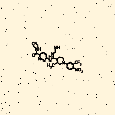 CC1=C(/C(=N\C=N)Nc2ccc(C(=O)NCC(F)(F)F)nn2)CCN(c2ccc([N+](=O)[O-])c(C(F)(F)F)c2)C1